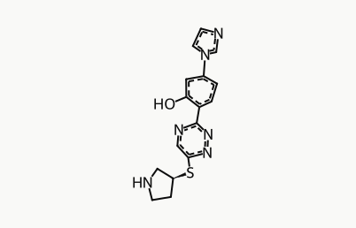 Oc1cc(-n2ccnc2)ccc1-c1ncc(S[C@H]2CCNC2)nn1